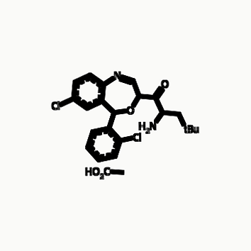 CC(=O)O.CC(C)(C)CC(N)C(=O)C1C=Nc2ccc(Cl)cc2C(c2ccccc2Cl)O1